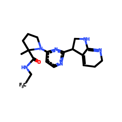 CC1(C(=O)NCC(F)(F)F)CCCN1c1ccnc(C2CNC3=NCCC=C32)n1